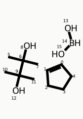 C1=CCCC1.CC(C)(O)C(C)(C)O.OBO